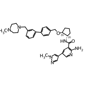 CN1CCN(Cc2cccc(-c3ccc(CO[C@H]4CCC[C@@H]4NC(=O)c4cc(-c5cnn(C)c5)cnc4N)cc3)c2)CC1